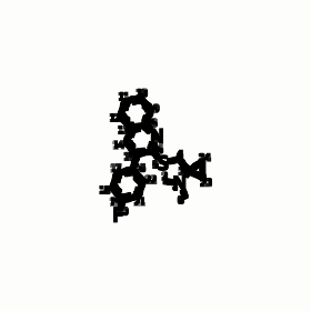 CN(C)C1(CSc2nc3ccccc3cc2-c2ccc(F)cc2)CC1